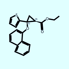 CCOC(=O)[C@@H]1C[C@@]1(Oc1cccc2ccccc12)c1cccs1